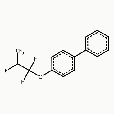 FC(C(F)(F)F)C(F)(F)Oc1ccc(-c2ccccc2)cc1